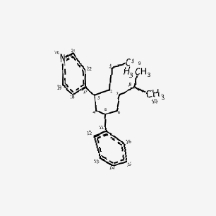 CCCC(CC(CCC(C)C)c1ccccc1)c1ccncc1